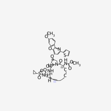 COC(=O)N[C@H]1CCCCC/C=C\[C@@H]2C[C@@]2(C(=O)NS(=O)(=O)C2CC2)NC(=O)[C@@H]2C[C@@H](Oc3cc(-c4cccs4)nc4c3oc3cc(OC)ccc34)CN2C1=O